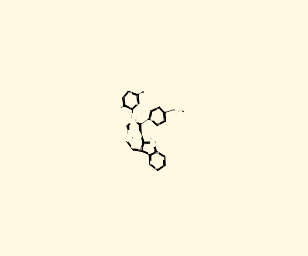 Fc1ccc(F)c(-n2c[n+]3ccc4c5ccccc5[nH]c4c3c2-c2ccc(Br)cc2)c1.[Cl-]